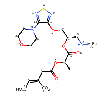 C[C@@H](OC(=O)C/C(=C/C(=O)O)C(=O)O)C(=O)O[C@@H](CNC(C)(C)C)COc1nsnc1N1CCOCC1